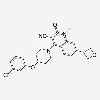 Cn1c(=O)c(C#N)c(N2CCC(Oc3cccc(Cl)c3)CC2)c2ccc(C3COC3)cc21